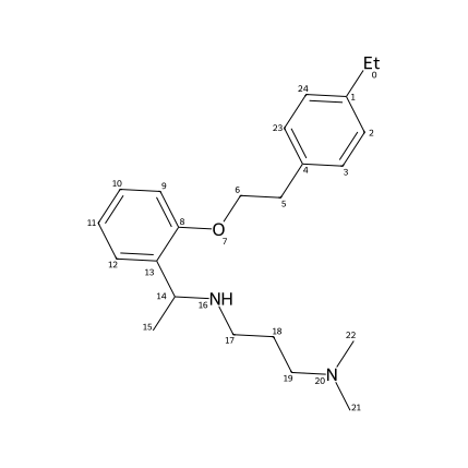 CCc1ccc(CCOc2ccccc2C(C)NCCCN(C)C)cc1